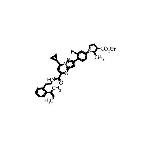 C/C=C(/C)c1ccccc1CCNC(=O)c1cc(C2CC2)n2nc(-c3ccc(N4CCC(C(=O)OCC)C4C)cc3F)cc2n1